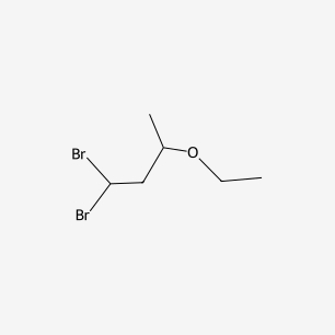 CCOC(C)CC(Br)Br